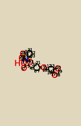 O=C(O)C(Cc1ccc(OCc2ccc3c(c2)OCCO3)cc1)OC1=NS(=O)(=O)c2ccccc21